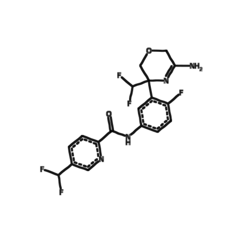 NC1=NC(c2cc(NC(=O)c3ccc(C(F)F)cn3)ccc2F)(C(F)F)COC1